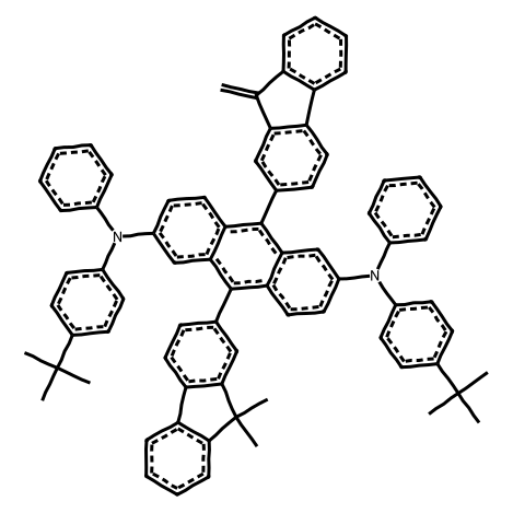 C=C1c2ccccc2-c2ccc(-c3c4ccc(N(c5ccccc5)c5ccc(C(C)(C)C)cc5)cc4c(-c4ccc5c(c4)C(C)(C)c4ccccc4-5)c4ccc(N(c5ccccc5)c5ccc(C(C)(C)C)cc5)cc34)cc21